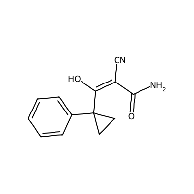 N#CC(C(N)=O)=C(O)C1(c2ccccc2)CC1